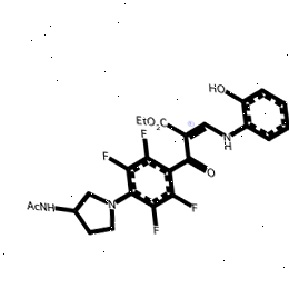 CCOC(=O)/C(=C/Nc1ccccc1O)C(=O)c1c(F)c(F)c(N2CCC(NC(C)=O)C2)c(F)c1F